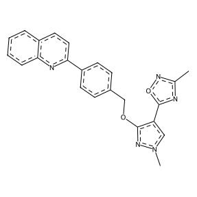 Cc1noc(-c2cn(C)nc2OCc2ccc(-c3ccc4ccccc4n3)cc2)n1